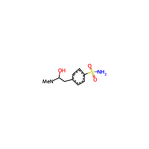 CNC(O)Cc1ccc(S(N)(=O)=O)cc1